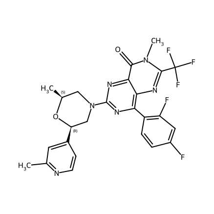 Cc1cc([C@@H]2CN(c3nc(-c4ccc(F)cc4F)c4nc(C(F)(F)F)n(C)c(=O)c4n3)C[C@H](C)O2)ccn1